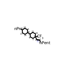 CCCCC/C=C/C1(C(F)(F)F)CCC(C2CCC(CCC)CC2)CC1